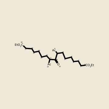 CCOC(=O)CCCCCCC(C(C)=O)C(=O)C(CCCCCCC(=O)OCC)C(C)=O